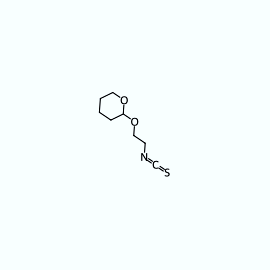 S=C=NCCOC1CCCCO1